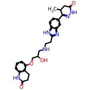 CC1CC(=O)NN=C1c1ccc2[nH]c(CCNCC(O)COc3cccc4c3CCC(=O)N4)nc2c1